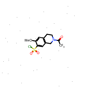 COc1cc2c(cc1S(=O)(=O)Cl)CN(C(=O)C(F)(F)F)CC2